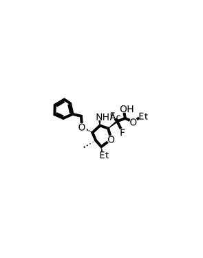 CCOC(O)C(F)(F)[C@H]1O[C@H](CC)[C@H](C)[C@H](OCc2ccccc2)[C@H]1NC(C)=O